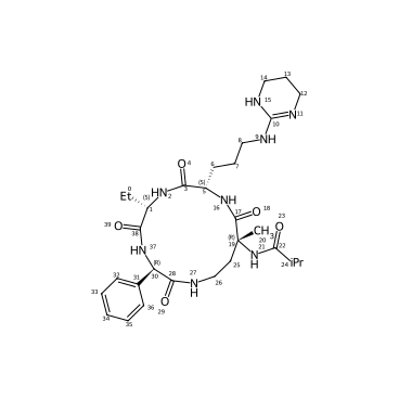 CC[C@@H]1NC(=O)[C@H](CCCNC2=NCCCN2)NC(=O)[C@](C)(NC(=O)C(C)C)CCNC(=O)[C@@H](c2ccccc2)NC1=O